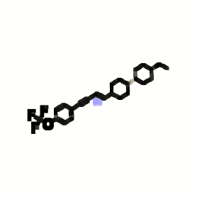 CC[C@H]1CC[C@H](C2CCC(/C=C/C#Cc3ccc(OC(F)(F)F)cc3)CC2)CC1